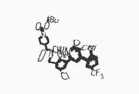 CN(Cc1cc(Cl)cc(-c2cc(-c3cc(C(F)(F)F)ccc3Cl)c(C#N)c(=O)[nH]2)c1O)C(=O)C1CCN(C(=O)OC(C)(C)C)CC1